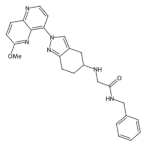 COc1ccc2nccc(-n3cc4c(n3)CCC(NCC(=O)NCc3ccccc3)C4)c2n1